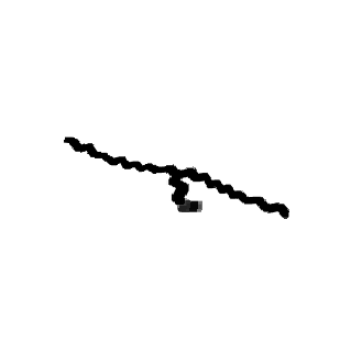 CCCCCCCCCCCCCCC(CCCO)CCCCCCCCCCCCCC